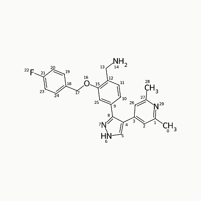 Cc1cc(-c2c[nH]nc2-c2ccc(CN)c(OCc3ccc(F)cc3)c2)cc(C)n1